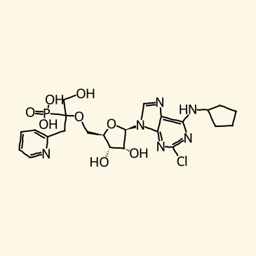 O=P(O)(O)C(CO)(Cc1ccccn1)OC[C@H]1O[C@@H](n2cnc3c(NC4CCCC4)nc(Cl)nc32)[C@H](O)[C@@H]1O